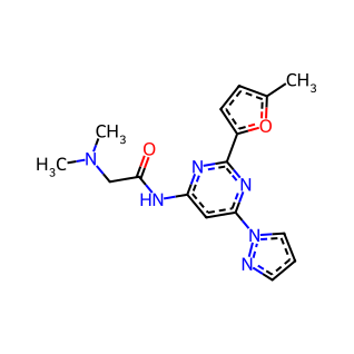 Cc1ccc(-c2nc(NC(=O)CN(C)C)cc(-n3cccn3)n2)o1